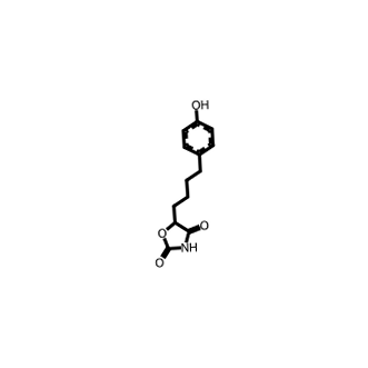 O=C1NC(=O)C(CCCCc2ccc(O)cc2)O1